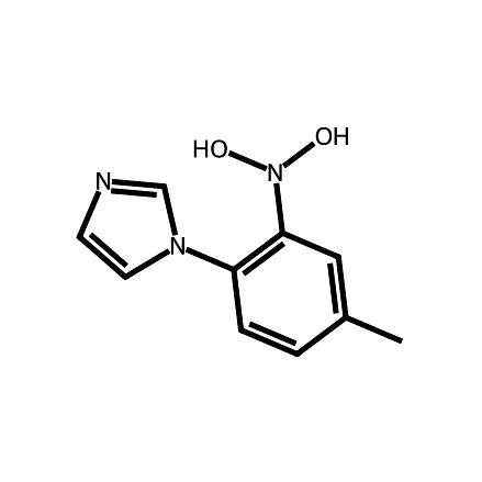 Cc1ccc(-n2ccnc2)c(N(O)O)c1